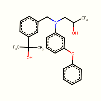 OC(CN(Cc1cccc(C(O)(C(F)(F)F)C(F)(F)F)c1)c1cccc(Oc2ccccc2)c1)C(F)(F)F